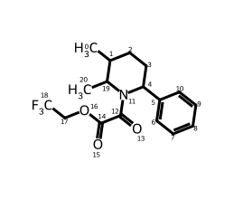 CC1CCC(c2ccccc2)N(C(=O)C(=O)OCC(F)(F)F)C1C